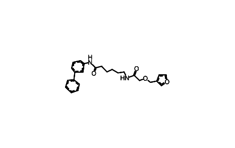 O=C(COCc1ccoc1)NCCCCCC(=O)Nc1cccc(-c2ccccc2)c1